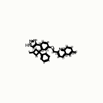 CC1CC(c2ccccc2)(c2cc(OCc3ccc4cc(F)ccc4n3)ccc2-c2c[nH]nn2)C1